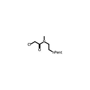 CCCCCCCN(C)C(=O)CCl